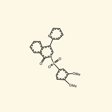 COc1ccc(S(=O)(=O)n2cc(-c3ccccn3)c3ccccc3c2=O)cc1OC